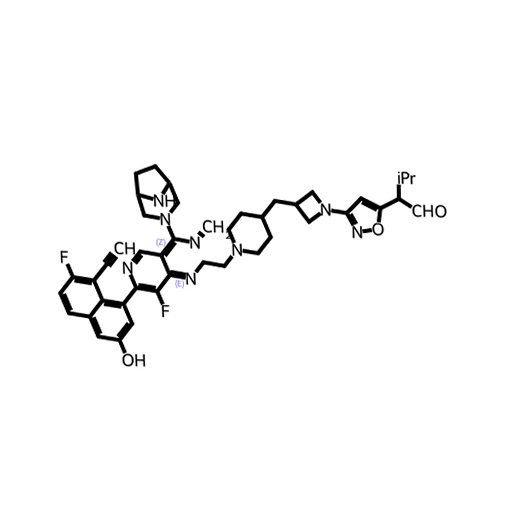 C#Cc1c(F)ccc2cc(O)cc(C3=C(F)C(=N/CCN4CCC(CC5CN(c6cc(C(C=O)C(C)C)on6)C5)CC4)/C(=C(\N=C)N4CC5CCC(C4)N5)C=N3)c12